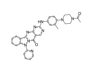 CC(=O)N1CCN(c2ccc(Nc3ncc4c(=O)n5c(nc4n3)c3ccccc3n5-c3ccccn3)cc2C)CC1